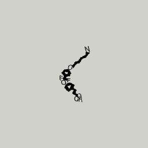 N#CCCCCCOc1ccc(C(F)(F)Oc2ccc(/C=C/C(=O)O)cc2)cc1